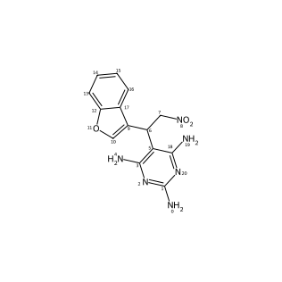 Nc1nc(N)c(C(C[N+](=O)[O-])c2coc3ccccc23)c(N)n1